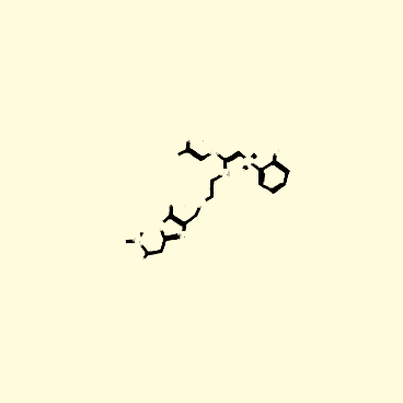 CCC(C)=CNC(=CS(=O)(=O)c1ccccc1Br)NCCSCc1nc(CC(C)N(CC)CC)sc1C